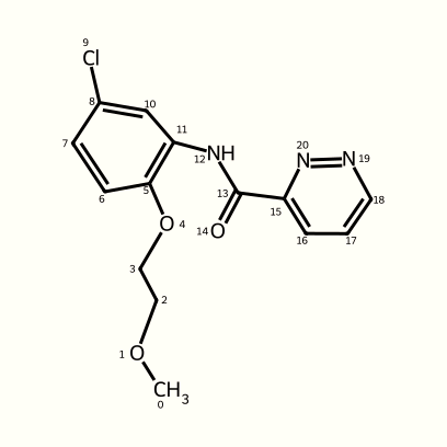 COCCOc1ccc(Cl)cc1NC(=O)c1cccnn1